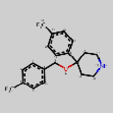 FC(F)(F)c1ccc(COC2(c3ccc(C(F)(F)F)cc3)CCNCC2)cc1